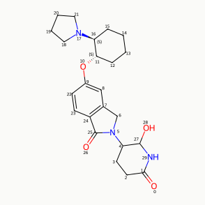 O=C1CCC(N2Cc3cc(O[C@H]4CCCC[C@@H]4N4CCCC4)ccc3C2=O)C(O)N1